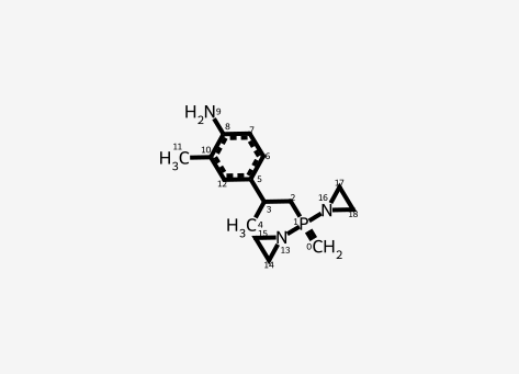 C=P(CC(C)c1ccc(N)c(C)c1)(N1CC1)N1CC1